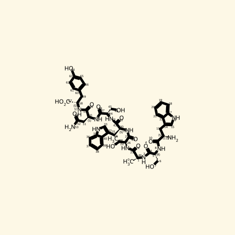 C[C@@H](NC(=O)[C@@H](CO)NC(=O)[C@@H](N)Cc1c[nH]c2ccccc12)C(=O)N[C@H](C(=O)N[C@@H](Cc1c[nH]c2ccccc12)C(=O)N[C@@H](CO)C(=O)N[C@@H](CC(N)=O)C(=O)N[C@@H](Cc1ccc(O)cc1)C(=O)O)[C@@H](C)O